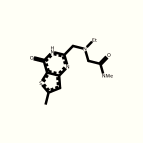 CCN(CC(=O)NC)Cc1nc2cc(C)sc2c(=O)[nH]1